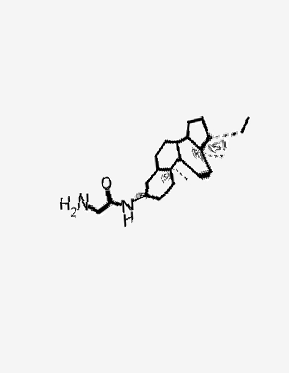 CC[C@H]1CCC2C3CCC4C[C@H](NC(=O)CN)CC[C@]4(C)C3CC[C@@]21C